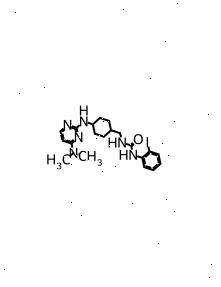 CN(C)c1ccnc(NC2CCC(CNC(=O)Nc3ccccc3I)CC2)n1